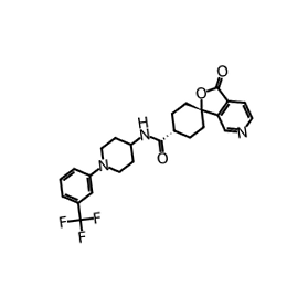 O=C1O[C@]2(CC[C@@H](C(=O)NC3CCN(c4cccc(C(F)(F)F)c4)CC3)CC2)c2cnccc21